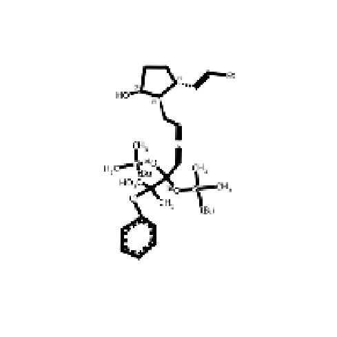 CCC=C[C@H]1CC[C@H](O)[C@@H]1CC=C=CC([16O][Si](C)(C)C(C)(C)C)([16O][Si](C)(C)C(C)(C)C)C(C)(Oc1ccccc1)C(=O)O